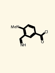 CNc1ccc(C(=O)Cl)cc1C=N